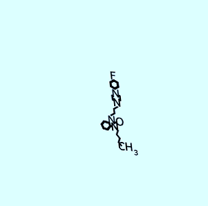 CCCCCn1c(=O)n(CCCCN2CCN(c3ccc(F)cc3)CC2)c2ccccc21